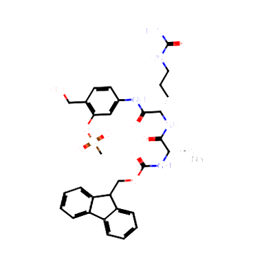 CC(C)[C@H](NC(=O)OCC1c2ccccc2-c2ccccc21)C(=O)N[C@@H](CCCNC(N)=O)C(=O)Nc1ccc(CO)c(OS(C)(=O)=O)c1.[Na]